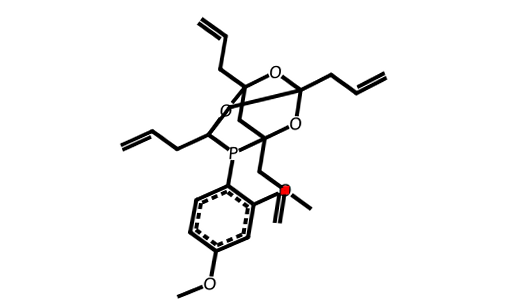 C=CCC12CC3(CC=C)OC(CC=C)(CC(CC=C)(O1)P3c1ccc(OC)cc1OC)O2